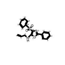 C=CCNc1oc(-c2ccccc2)nc1S(=O)(=O)c1ccccc1